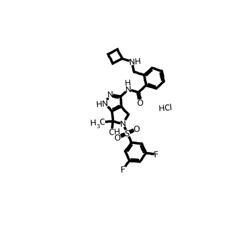 CC1(C)c2[nH]nc(NC(=O)c3ccccc3CNC3CCC3)c2CN1S(=O)(=O)c1cc(F)cc(F)c1.Cl